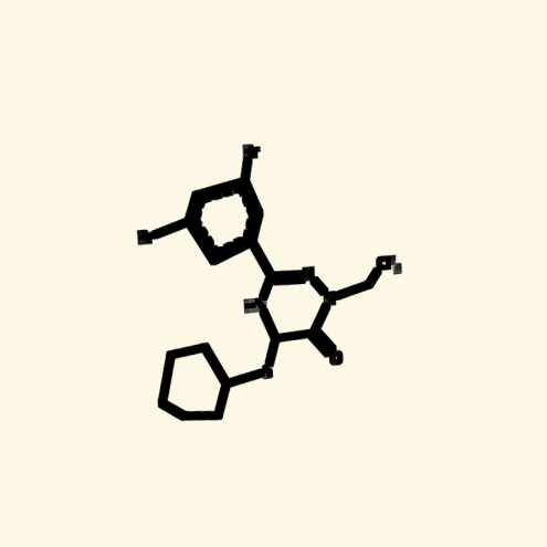 O=C1C(SC2CCCCC2)NC(c2cc(Br)cc(Br)c2)=NN1CC(F)(F)F